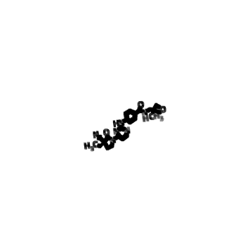 CC[C@]1(C#N)CCN(c2ccnc(Nc3ccc(C(=O)NCC4(C)COC4)cc3)n2)C1=O